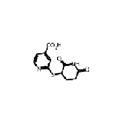 O=C1CCC(Sc2cc(C(=O)O)ccn2)C(=O)N1